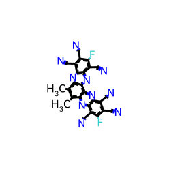 Cc1c(C)c2nc3c(C#N)c(F)c(C#N)c(C#N)c3nc2c2nc3c(C#N)c(F)c(C#N)c(C#N)c3nc12